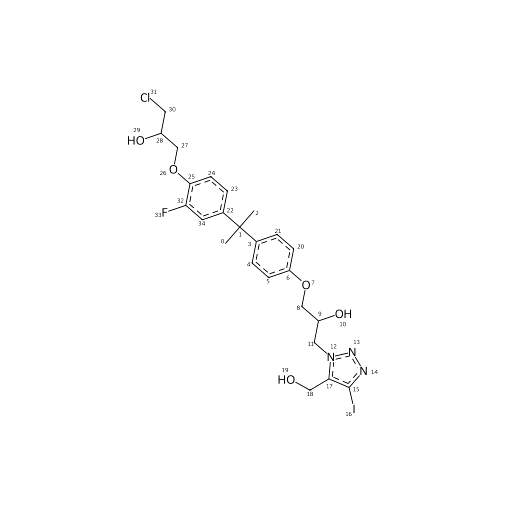 CC(C)(c1ccc(OCC(O)Cn2nnc(I)c2CO)cc1)c1ccc(OCC(O)CCl)c(F)c1